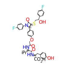 CC(C)[C@@H](NC(=O)COc1ccc([C@@H]2[C@@H](SCC(O)c3ccc(F)cc3)C(=O)N2c2ccc(F)cc2)cc1)C(=O)N[C@H](Cc1ccc(O)cc1)C(=O)O